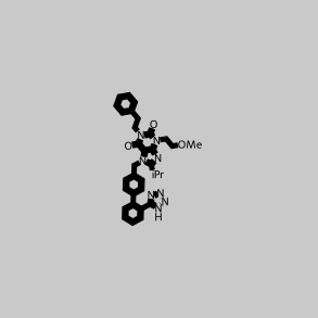 COCCn1c(=O)n(CCc2ccccc2)c(=O)c2c1nc(C(C)C)n2Cc1ccc(-c2ccccc2-c2nnn[nH]2)cc1